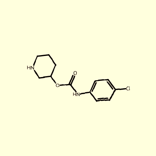 O=C(Nc1ccc(Cl)cc1)OC1CCCNC1